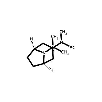 CC(=O)N(C)C1C[C@H]2CC[C@@H](C1)N2[SH](C)C